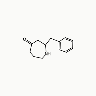 O=C1CCCNC(Cc2ccccc2)C1